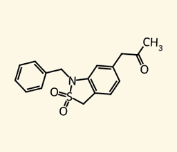 CC(=O)Cc1ccc2c(c1)N(Cc1ccccc1)S(=O)(=O)C2